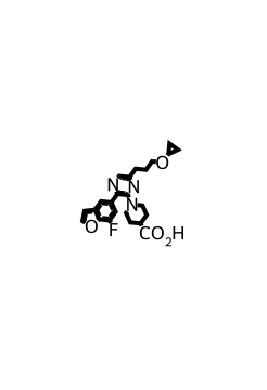 O=C(O)C1CCN(c2nc(CCCOC3CC3)cnc2-c2cc(F)c3occc3c2)CC1